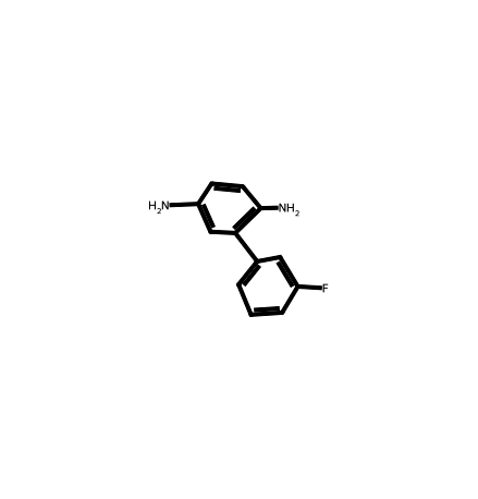 Nc1ccc(N)c(-c2cccc(F)c2)c1